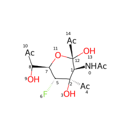 CC(=O)N[C@H]1[C@](O)(C(C)=O)[C@H](F)[C@@H](C(O)C(C)=O)O[C@@]1(O)C(C)=O